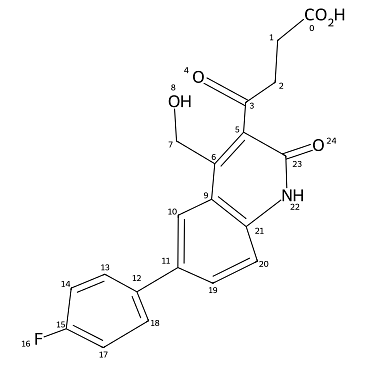 O=C(O)CCC(=O)c1c(CO)c2cc(-c3ccc(F)cc3)ccc2[nH]c1=O